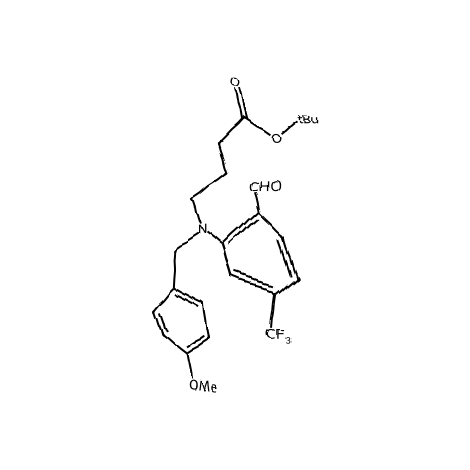 COc1ccc(CN(CCCC(=O)OC(C)(C)C)c2cc(C(F)(F)F)ccc2C=O)cc1